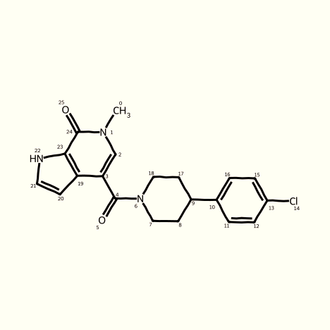 Cn1cc(C(=O)N2CCC(c3ccc(Cl)cc3)CC2)c2cc[nH]c2c1=O